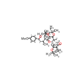 C=C(CC(=O)c1ccc(OC)cc1)C[C@@H]1OC[C@H](C[C@@H]2O[C@H]2[C@H](C)[C@H](C)O[Si](C)(C)C)[C@@H](O[Si](C)(C)C)[C@@H]1O[Si](C)(C)C